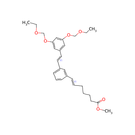 CCOCOc1cc(/C=C/c2cccc(/C=C/CCCCC(=O)OC)c2)cc(OCOCC)c1